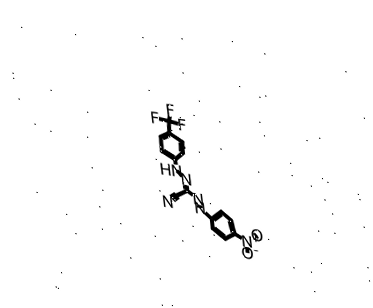 N#CC(/N=N/c1ccc([N+](=O)[O-])cc1)=N\Nc1ccc(C(F)(F)F)cc1